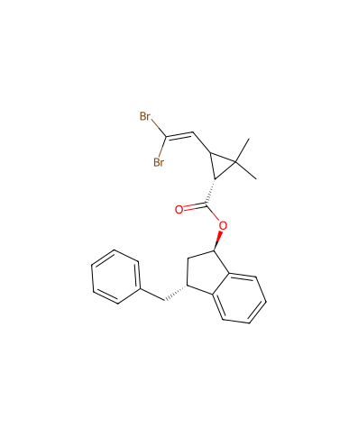 CC1(C)C(C=C(Br)Br)[C@H]1C(=O)O[C@@H]1C[C@@H](Cc2ccccc2)c2ccccc21